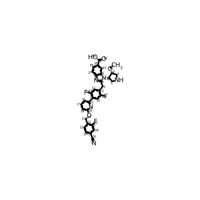 CO[C@@H]1CNC[C@@H]1n1c(Cc2cc(F)c(-c3cccc(OCc4ccc(C#N)cc4F)n3)cc2F)nc2ccc(C(=O)O)cc21